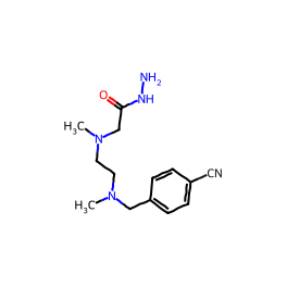 CN(CCN(C)Cc1ccc(C#N)cc1)CC(=O)NN